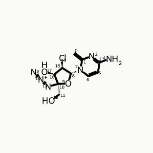 C=C1N=C(N)C=CN1[C@@H]1O[C@@](CO)(N=[N+]=[N-])[C@@H](O)[C@H]1Cl